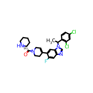 CC(c1ccc(Cl)cc1Cl)n1cnc2cc(F)c(C3=CCN(C(=O)[C@H]4CCCCN4)CC3)cc21